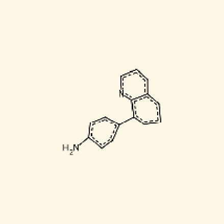 Nc1ccc(-c2cccc3cccnc23)cc1